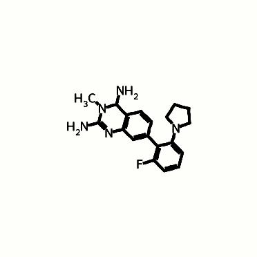 CN1C(N)=Nc2cc(-c3c(F)cccc3N3CCCC3)ccc2C1N